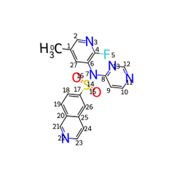 Cc1cnc(F)c(N(c2ccncn2)S(=O)(=O)c2ccc3cnccc3c2)c1